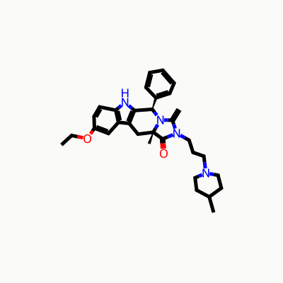 C=C1N(CCCN2CCC(C)CC2)C(=O)[C@]2(C)Cc3c([nH]c4ccc(OCC)cc34)[C@@H](c3ccccc3)N12